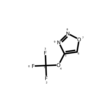 FC(F)(F)Oc1conn1